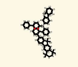 CC1(C)CCC(C)(C)c2cc3c(cc21)-c1ccc(-c2ccccc2-c2ccccc2N(c2ccc(-c4ccccc4)cc2)c2ccc4c(c2)sc2ccccc24)cc1C3(C)C